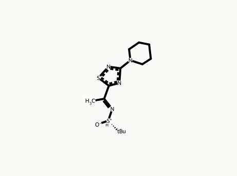 CC(=N[S@@+]([O-])C(C)(C)C)c1nc(N2CCCCC2)ns1